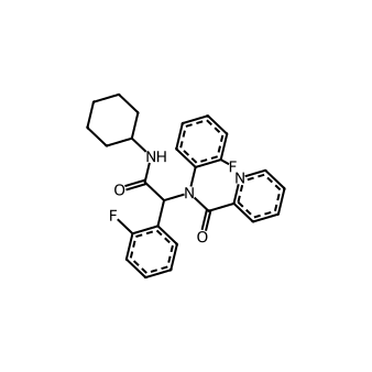 O=C(NC1CCCCC1)C(c1ccccc1F)N(C(=O)c1ccccn1)c1ccccc1F